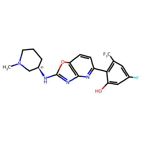 CN1CCC[C@@H](Nc2nc3nc(-c4c(O)cc(F)cc4C(F)(F)F)ccc3o2)C1